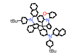 CC(C)(C)c1ccc(N(c2ccc3c(c2)C2(c4ccccc4N4c5ccccc5Oc5cccc2c54)c2cc(N(c4ccc(C(C)(C)C)cc4)c4ccc5ccccc5c4)c4ccccc4c2-3)c2ccc3ccccc3c2)cc1